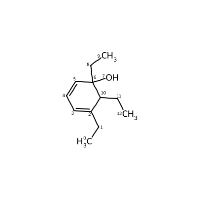 CCC1=CC=CC(O)(CC)C1CC